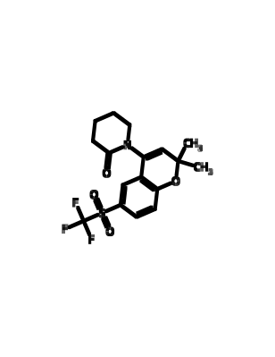 CC1(C)C=C(N2CCCCC2=O)c2cc(S(=O)(=O)C(F)(F)F)ccc2O1